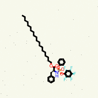 CCCCCCCCCCCCCCCCCCCCOC(=O)[C@H](Cc1ccccc1)N[P@](=O)(Oc1ccccc1)Oc1c(F)c(F)c(F)c(F)c1F